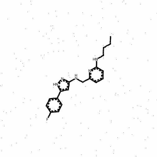 CCCCNc1cccc(CNc2cc(-c3ccc(F)cc3)[nH]n2)n1